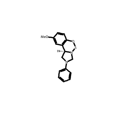 COc1ccc2c(c1)[C@@H]1CN(c3ccccc3)CN1SO2